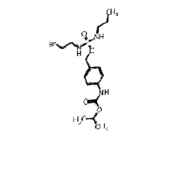 CCCNP(=O)(NCCBr)OCc1ccc(NC(=O)OC(C)C)cc1